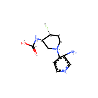 Nc1cnccc1N1CC[C@@H](F)[C@H](NC(=O)O)C1